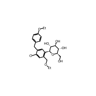 CCOCc1cc(Cl)c(Cc2ccc(OCC)cc2)cc1[C@@H]1O[C@H](CO)[C@@H](O)[C@H](O)[C@H]1O